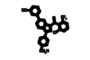 N#Cc1cccc(-c2ccc3c(-c4ccc(C(=O)O)cc4)nn(C(=O)c4c(Cl)cccc4C(F)(F)F)c3c2)c1